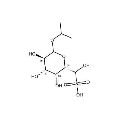 CC(C)OC1O[C@H](C(O)S(=O)(=O)O)[C@H](O)[C@H](O)[C@H]1O